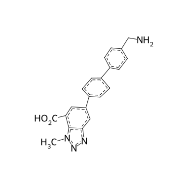 Cn1nnc2cc(-c3ccc(-c4ccc(CN)cc4)cc3)cc(C(=O)O)c21